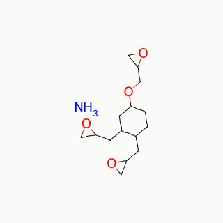 C1CC(CC2CO2)C(CC2CO2)CC1OCC1CO1.N